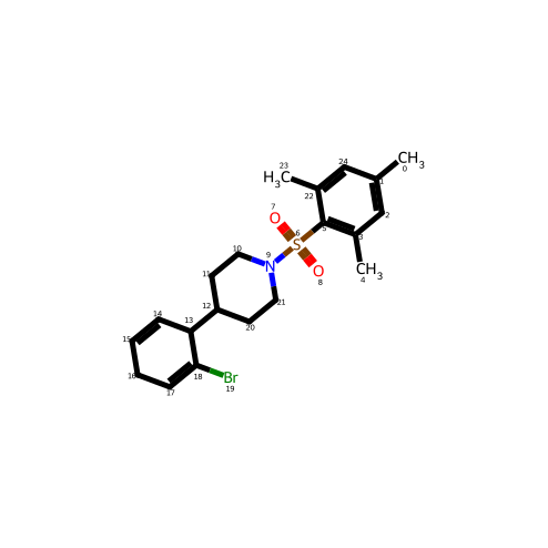 Cc1cc(C)c(S(=O)(=O)N2CCC(C3C=CCC=C3Br)CC2)c(C)c1